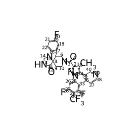 Cc1c(C(=O)N2CCC3(CC2)C(=O)NCN3c2ccc(F)cc2)nn(-c2cc(F)c(C(F)(F)F)c(F)c2)c1-c1cccnc1